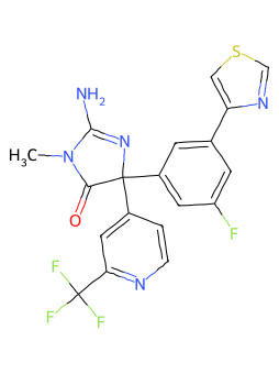 CN1C(=O)C(c2cc(F)cc(-c3cscn3)c2)(c2ccnc(C(F)(F)F)c2)N=C1N